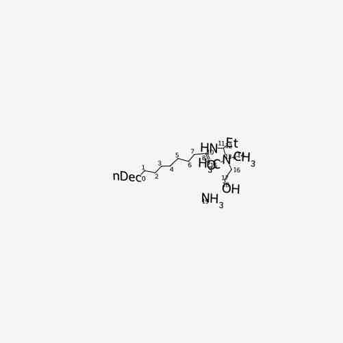 CCCCCCCCCCCCCCCCCC(=O)NC(CC)[N+](C)(C)CCO.N